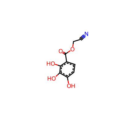 N#CCOC(=O)c1ccc(O)c(O)c1O